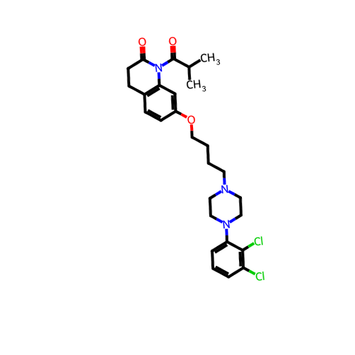 CC(C)C(=O)N1C(=O)CCc2ccc(OCCCCN3CCN(c4cccc(Cl)c4Cl)CC3)cc21